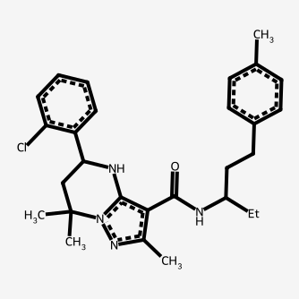 CCC(CCc1ccc(C)cc1)NC(=O)c1c(C)nn2c1NC(c1ccccc1Cl)CC2(C)C